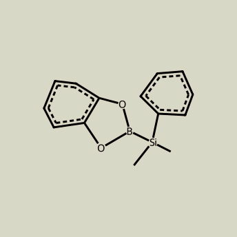 C[Si](C)(B1Oc2ccccc2O1)c1ccccc1